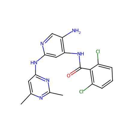 Cc1cc(Nc2cc(NC(=O)c3c(Cl)cccc3Cl)c(N)cn2)nc(C)n1